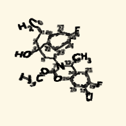 C=CCC(O)(CCN(C(=O)OC)C(C)c1ccc(Cl)c(F)c1)c1ccc(F)cc1